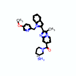 COc1ccc(Cn2c(-c3nc4cc(C(=O)N5CCC[C@@H](N)C5)ccn4c3C)cc3ccccc32)nc1